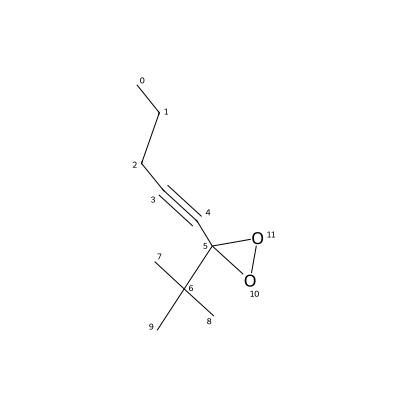 CCCC#CC1(C(C)(C)C)OO1